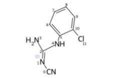 N#C/N=C(/N)Nc1ccccc1Cl